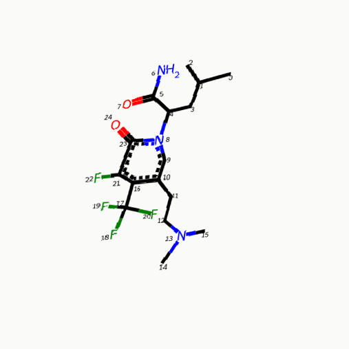 CC(C)CC(C(N)=O)n1cc(CCN(C)C)c(C(F)(F)F)c(F)c1=O